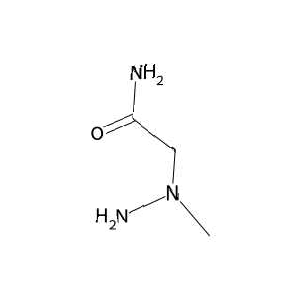 CN(N)CC(N)=O